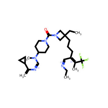 C=C(/N=C\N(C)C1CCN(C(=O)N2CC(CC)(CCCC(/C=N\CC)=C(/C)C(F)(F)F)C2)CC1)C1CC1